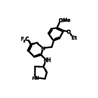 CCOc1cc(CN2CC(C(F)(F)F)=CC=C2NC2CCNCC2)ccc1OC